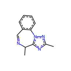 Cc1nc2n(n1)-c1ccccc1C=NC2C